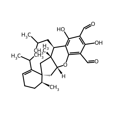 CC(C)C[C@H]1c2c(O)c(C=O)c(O)c(C=O)c2O[C@@H]2C[C@@]3(C[C@@]21C)C(C(C)C)=CCC[C@@H]3C